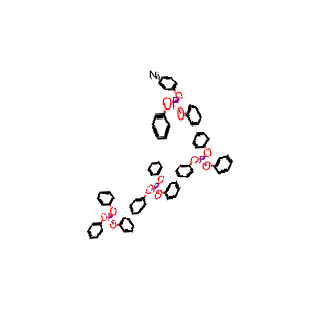 [Ni].c1ccc(OP(Oc2ccccc2)Oc2ccccc2)cc1.c1ccc(OP(Oc2ccccc2)Oc2ccccc2)cc1.c1ccc(OP(Oc2ccccc2)Oc2ccccc2)cc1.c1ccc(OP(Oc2ccccc2)Oc2ccccc2)cc1